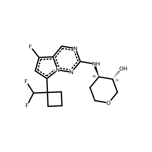 O[C@@H]1COCC[C@H]1Nc1ncc2c(F)cc(C3(C(F)F)CCC3)n2n1